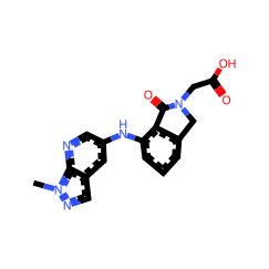 Cn1ncc2cc(Nc3cccc4c3C(=O)N(CC(=O)O)C4)cnc21